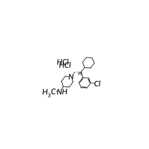 CNC1CCN(C[C@@H](c2cccc(Cl)c2)C2CCCCC2)CC1.Cl.Cl